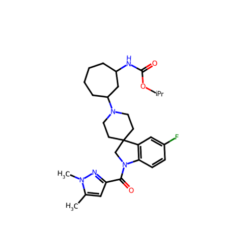 Cc1cc(C(=O)N2CC3(CCN(C4CCCCC(NC(=O)OC(C)C)C4)CC3)c3cc(F)ccc32)nn1C